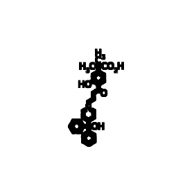 CC(C)(C(=O)O)c1ccc(C(=O)CCCN2CCC(C(O)(c3ccccc3)c3ccccc3)CC2)c(O)c1